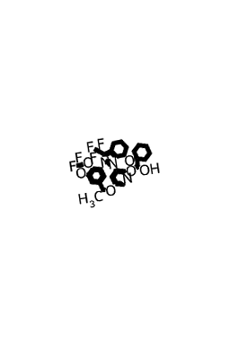 C[C@H](Oc1cncc(-n2nc(C(F)(F)F)c3c2[C@H](OC2(C(=O)O)CCCCC2)CCC3)c1)c1ccc2c(c1)OC(F)(F)O2